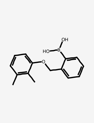 Cc1cccc(OCc2ccccc2B(O)O)c1C